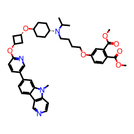 COC(=O)c1ccc(OCCCCN(C(C)C)[C@H]2CC[C@H](O[C@H]3C[C@H](Oc4ccc(-c5ccc6c7cnccc7n(C)c6c5)cn4)C3)CC2)cc1C(=O)OC